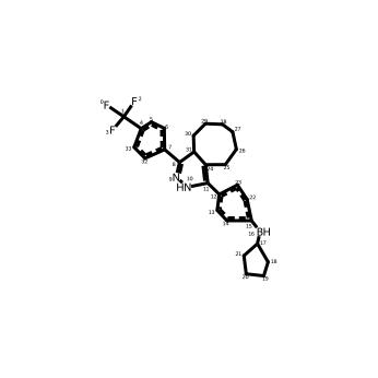 FC(F)(F)c1ccc(C2=NNC(c3ccc(BC4CCCC4)cc3)=C3CCCCCCC23)cc1